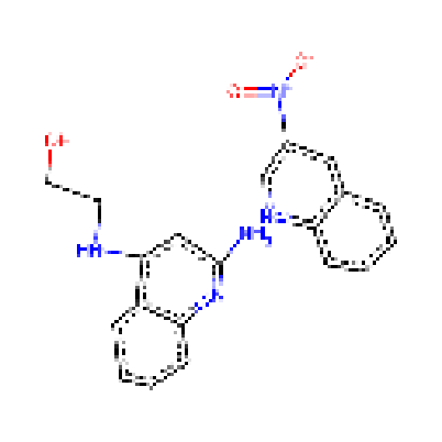 Nc1cc(NCCO)c2ccccc2n1.O=[N+]([O-])c1cnc2ccccc2c1